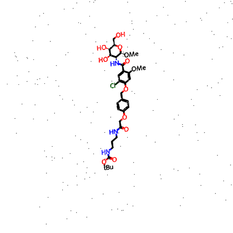 COc1cc(OCc2ccc(OCC(=O)NCCCNC(=O)OC(C)(C)C)cc2)c(Cl)cc1C(=O)N[C@H]1[C@@H](OC)O[C@H](CO)[C@@H](O)[C@@H]1O